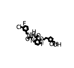 O=C(NCc1ccc(F)c(Cl)c1)c1nc2ccc(F)c(OCCC3CCC(O)(CO)C3)c2c(=O)[nH]1